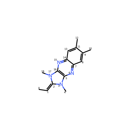 CC=C1N(C)c2nc3cc(C)c(C)cc3nc2N1C